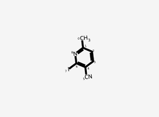 Cc1ccc(C#N)c(I)n1